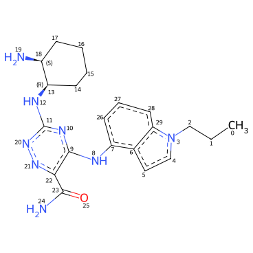 CCCn1ccc2c(Nc3nc(N[C@@H]4CCCC[C@@H]4N)nnc3C(N)=O)cccc21